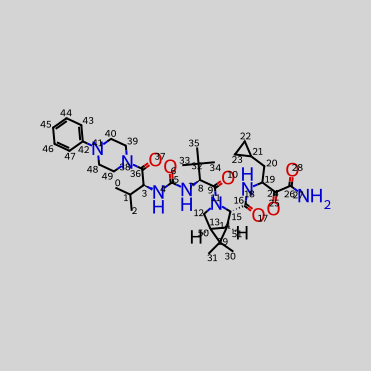 CC(C)[C@H](NC(=O)N[C@H](C(=O)N1C[C@H]2[C@@H]([C@H]1C(=O)NC(CC1CC1)C(=O)C(N)=O)C2(C)C)C(C)(C)C)C(=O)N1CCN(c2ccccc2)CC1